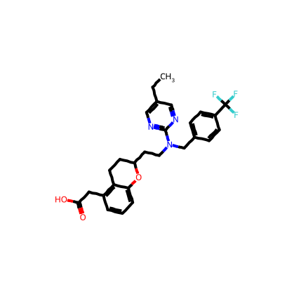 CCc1cnc(N(CCC2CCc3c(CC(=O)O)cccc3O2)Cc2ccc(C(F)(F)F)cc2)nc1